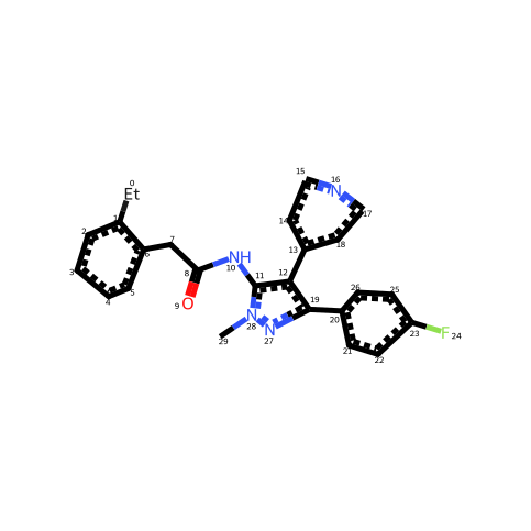 CCc1ccccc1CC(=O)Nc1c(-c2ccncc2)c(-c2ccc(F)cc2)nn1C